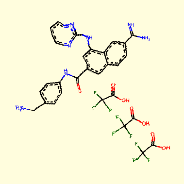 N=C(N)c1ccc2cc(C(=O)Nc3ccc(CN)cc3)cc(Nc3ncccn3)c2c1.O=C(O)C(F)(F)F.O=C(O)C(F)(F)F.O=C(O)C(F)(F)F